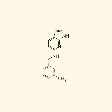 Cc1cccc(CNc2ccc3cc[nH]c3n2)c1